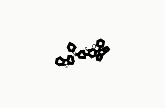 c1ccc(N(c2ccc3c(c2)sc2c4c(ccc23)C2(c3ccccc3O4)c3ccccc3-c3ccccc32)c2ccc3sc4ccccc4c3c2)cc1